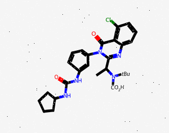 CC(c1nc2cccc(Cl)c2c(=O)n1-c1cccc(NC(=O)NC2CCCC2)c1)N(C(=O)O)C(C)(C)C